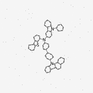 c1ccc(-n2c3ccccc3c3cc(N(c4ccc(-c5ccc(-n6c7ccccc7c7ccc8ccccc8c76)cc5)cc4)c4cccc5c4sc4ccccc45)ccc32)cc1